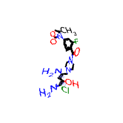 C[C@@H]1COC(=O)N1c1ccc(C(=O)N2CCN(C/C(N)=C\C(O)=C(/N)Cl)CC2)c(F)c1